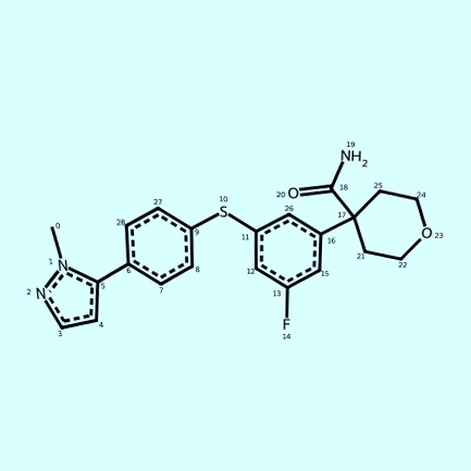 Cn1nccc1-c1ccc(Sc2cc(F)cc(C3(C(N)=O)CCOCC3)c2)cc1